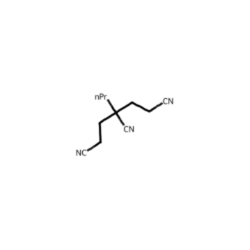 CCCC(C#N)(CCC#N)CCC#N